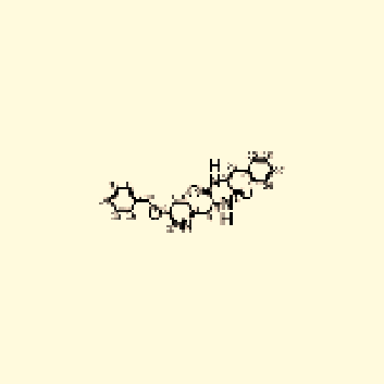 O=C1NC(Cc2ccc(OCc3ccccc3)cn2)C(=O)NC1Cc1ccccc1